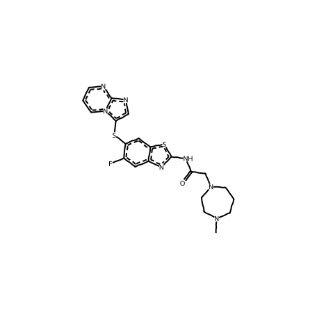 CN1CCCN(CC(=O)Nc2nc3cc(F)c(Sc4cnc5ncccn45)cc3s2)CC1